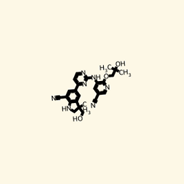 CC(C)(O)COc1ncc(C#N)cc1Nc1nccc(-c2cc(C#N)c3c(c2)C(C)(CO)CN3)n1